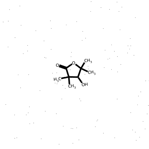 CC1(C)OC(=O)C(C)(C)C1O